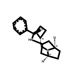 O=C(NC1C[C@H]2CC[C@@H](C1)N2C[C@H]1CCO1)c1ccccc1